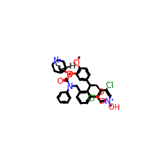 COc1ccc(C(Cc2c(Cl)c[n+](O)cc2Cl)c2c(CN(C(=O)O[C@H]3CN4CCC3CC4)c3ccccc3)cccc2C(=O)[O-])cc1OC